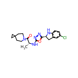 C[C@@H](Nc1nnc([C@@H]2Cc3cc(Cl)ccc3N2)o1)C(=O)N1CCC2(CC1)CC2